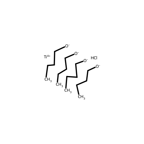 CCCC[O-].CCCC[O-].CCCC[O-].CCCC[O-].Cl.[Ti+4]